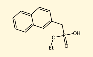 CCOP(=O)(O)Cc1ccc2ccccc2c1